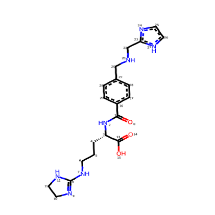 O=C(N[C@@H](CCCNC1=NCCN1)C(=O)O)c1ccc(CNCc2ncc[nH]2)cc1